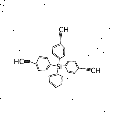 C#Cc1ccc([Si](c2ccccc2)(c2ccc(C#C)cc2)c2ccc(C#C)cc2)cc1